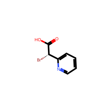 O=C(O)[C@@H](Br)c1ccccn1